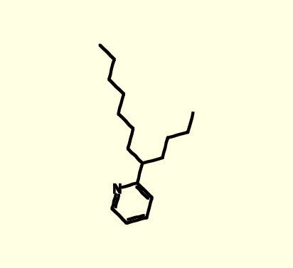 CCCCCCCC(CCCC)c1ccccn1